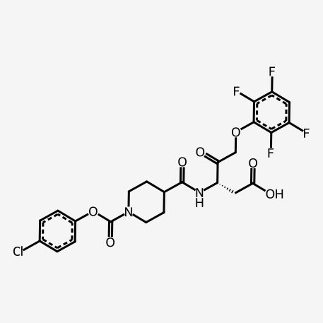 O=C(O)C[C@H](NC(=O)C1CCN(C(=O)Oc2ccc(Cl)cc2)CC1)C(=O)COc1c(F)c(F)cc(F)c1F